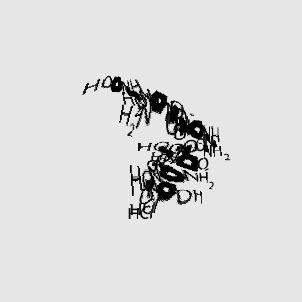 CCN(Nc1ccc([N+](=O)[O-])cc1)C(N)=O.COc1ccc(NCCO)c([N+](=O)[O-])c1.Cl.Cl.Nc1ccc(N)c([N+](=O)[O-])c1.Nc1ccc([N+](=O)[O-])cc1N.O=[N+]([O-])c1ccc(O)cc1.OCCNc1ccc(O)cc1